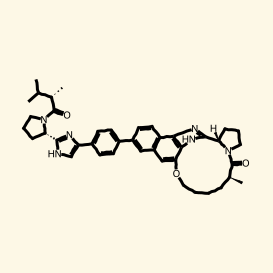 CC(C)[C@H](C)C(=O)N1CCC[C@H]1c1nc(-c2ccc(-c3ccc4c(c3)cc3c5[nH]c(nc54)[C@@H]4CCCN4C(=O)[C@@H](C)CCCCO3)cc2)c[nH]1